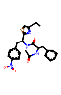 CCc1csc([C@H](Cc2ccc([N+](=O)[O-])cc2)NC(=O)C(Cc2ccccc2)NC(C)=O)n1